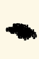 CC[C@H](C)[C@@H]([C@@H](CC(=O)N1C[C@H](OC)CC1[C@H](OC)[C@@H](C)C(=O)NCC(=N)c1ccc(F)cc1C)OC)N(C)C(=O)[C@@H](NC(=O)[C@H](C(C)C)N(C)C)C(C)C